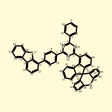 c1ccc(-c2nc(-c3ccc(-c4cccc5c4sc4ccccc45)cc3)nc(-c3cccc4c3-c3ccccc3C43c4ccccc4Sc4ccccc43)n2)cc1